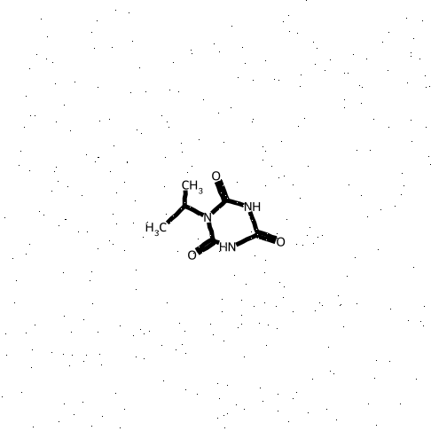 CC(C)n1c(=O)[nH]c(=O)[nH]c1=O